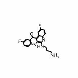 NCCCNc1nc2ccc(F)cc2c2c(=O)c3cc(F)ccc3sc12